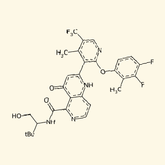 Cc1c(Oc2ncc(C(F)(F)F)c(C)c2-c2cc(=O)c3c(C(=O)NC(CO)C(C)(C)C)nccc3[nH]2)ccc(F)c1F